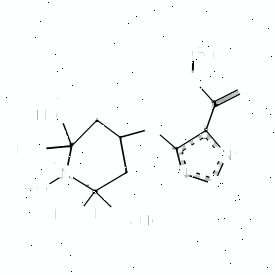 CC(C)(C)OC(=O)c1nsnc1OC1CC(C)(C)N(O)C(C)(C)C1.Cl